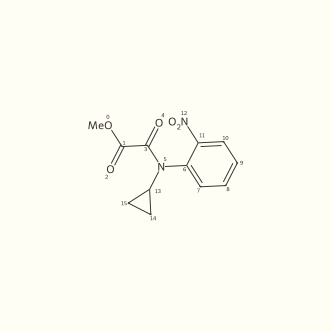 COC(=O)C(=O)N(c1ccccc1[N+](=O)[O-])C1CC1